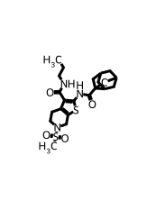 CCCNC(=O)c1c(NC(=O)C23CC4CC(CC2C4)C3)sc2c1CCN(S(C)(=O)=O)C2